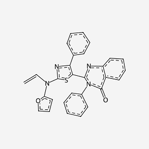 C=CN(c1ccco1)c1nc(-c2ccccc2)c(-c2nc3ccccc3c(=O)n2-c2ccccc2)s1